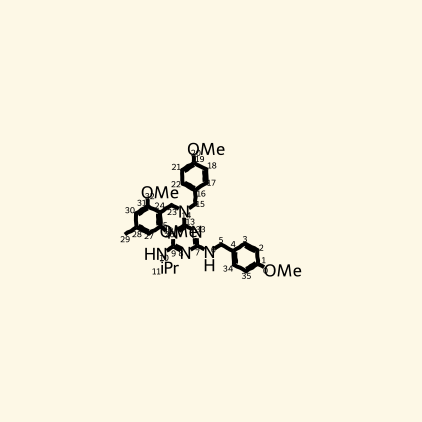 COc1ccc(CNc2nc(NC(C)C)nc(N(Cc3ccc(OC)cc3)Cc3c(OC)cc(C)cc3OC)n2)cc1